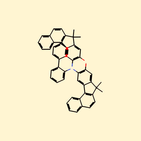 CC1(C)c2cc3c(cc2-c2c1ccc1ccccc21)N(c1ccccc1-c1ccccc1)c1cc2c(cc1O3)C(C)(C)c1ccc3ccccc3c1-2